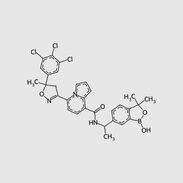 CC(NC(=O)c1ccc(C2=NOC(C)(c3cc(Cl)c(Cl)c(Cl)c3)C2)n2cccc12)c1ccc2c(c1)B(O)OC2(C)C